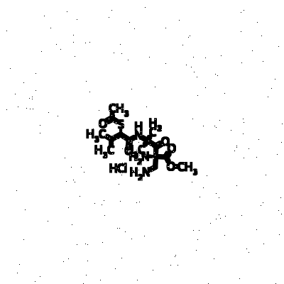 COC(=O)[C@](N)(CN)C(=O)C(C)(C)NC(=O)[C@@H](SC(C)=O)C(C)C.Cl